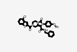 CC(C)Oc1ccc(-n2c(C(=O)NCc3ccccc3)c3n(c2=O)CCN(C(=O)c2cc4c(Cl)cccc4s2)C3)cc1